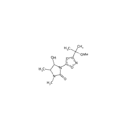 COC(C)(C)c1cc(N2C(=O)N(C)C(C)C2O)on1